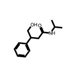 CC(C)NC(=O)CC(CO)c1ccccc1